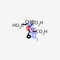 N[C@@H](CC(=O)O)C(=O)N[C@@H](Cc1ccccc1)C(=O)N[C@@H](CCC(=O)O)C(=O)N[C@H]([C]=O)CCC(=O)O